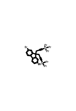 CC(C)[Si](C#CCC1(CC#C[Si](C(C)C)(C(C)C)C(C)C)c2cc(Br)ccc2-c2ccc(Br)cc21)(C(C)C)C(C)C